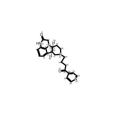 O=C1CN2c3c(cccc3[C@@H]3CN(CCCC(=O)c4ccncc4)CC[C@@H]32)N1